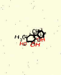 C[C@H]1CC(C)(c2ccccc2)[C@H](O)[C@@H](O)[C@@H]1O